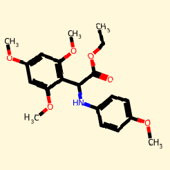 CCOC(=O)C(Nc1ccc(OC)cc1)c1c(OC)cc(OC)cc1OC